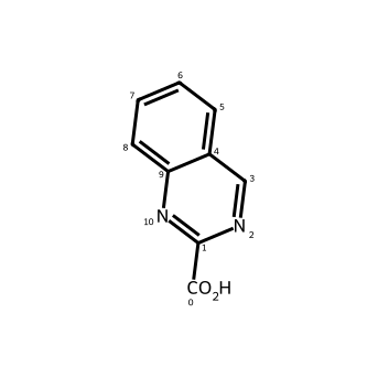 O=C(O)c1ncc2ccccc2n1